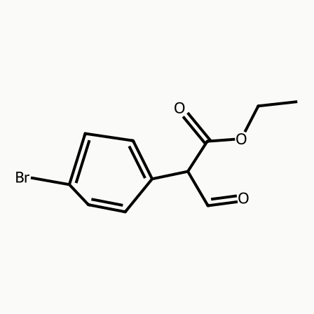 CCOC(=O)C(C=O)c1ccc(Br)cc1